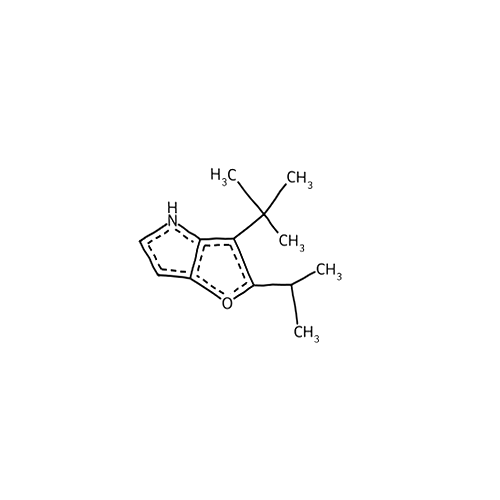 CC(C)c1oc2cc[nH]c2c1C(C)(C)C